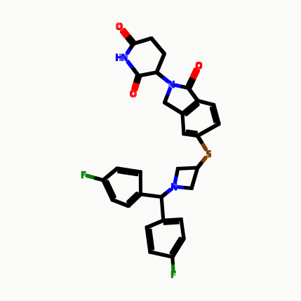 O=C1CCC(N2Cc3cc(SC4CN(C(c5ccc(F)cc5)c5ccc(F)cc5)C4)ccc3C2=O)C(=O)N1